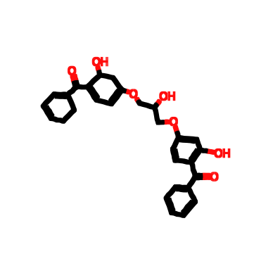 O=C(C1=CC=CCC1)C1=CC=C(OCC(O)COc2ccc(C(=O)c3ccccc3)c(O)c2)CC1O